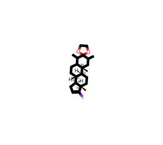 CC1C[C@@]2(C)C(CC[C@@H]3[C@@H]2CC[C@]2(C)C(I)=CC[C@@H]32)C(C)C12OCCO2